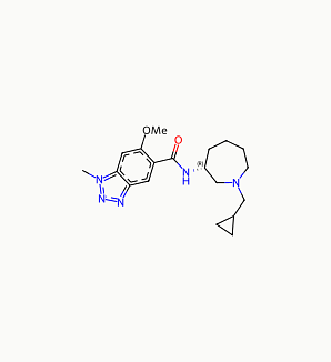 COc1cc2c(cc1C(=O)N[C@@H]1CCCCN(CC3CC3)C1)nnn2C